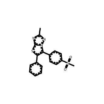 Cc1nc2sc(-c3ccccc3)c(-c3ccc(S(C)(=O)=O)cc3)n2n1